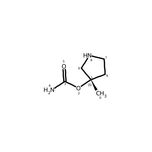 C[C@]1(OC(N)=O)CCNC1